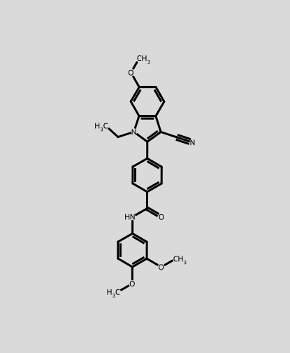 CCn1c(-c2ccc(C(=O)Nc3ccc(OC)c(OC)c3)cc2)c(C#N)c2ccc(OC)cc21